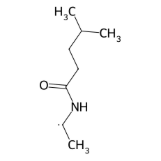 C[CH]NC(=O)CCC(C)C